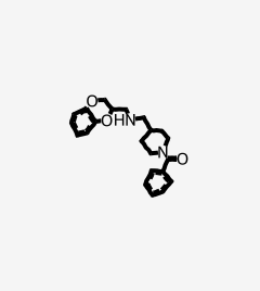 O=C(c1ccccc1)N1CCC(CNCC2COc3ccccc3O2)CC1